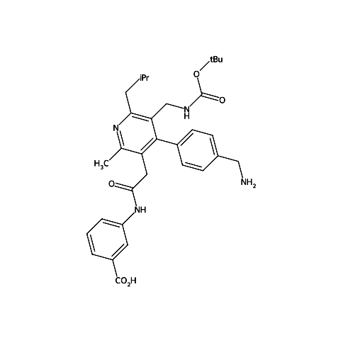 Cc1nc(CC(C)C)c(CNC(=O)OC(C)(C)C)c(-c2ccc(CN)cc2)c1CC(=O)Nc1cccc(C(=O)O)c1